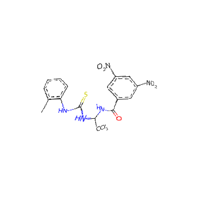 Cc1ccccc1NC(=S)NC(NC(=O)c1cc([N+](=O)[O-])cc([N+](=O)[O-])c1)C(Cl)(Cl)Cl